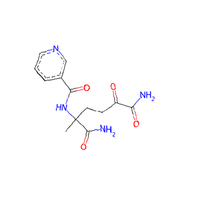 CC(CCC(=O)C(N)=O)(NC(=O)c1cccnc1)C(N)=O